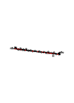 CCCCc1cn(CCOCCC(=O)NCCOCCNC(=O)CCOCCOCCOCCOCCNCCOCCOCCOCCOCCC(=O)NCCOCCNC(=O)CCOCCn2cc(CCCC)nn2)nn1